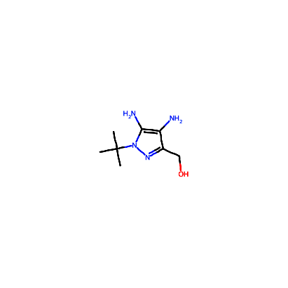 CC(C)(C)n1nc(CO)c(N)c1N